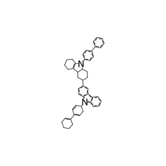 C1=CC(n2c3ccccc3c3cc(C4CCC5C(C4)C4=C(CCCC4)N5c4ccc(-c5ccccc5)cc4)ccc32)CC=C1C1=CCCCC1